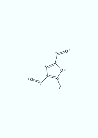 Cc1oc(C=O)cc1C=O